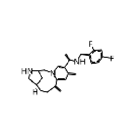 C=C1C=C2C(=C)CC[C@H]3CNC(C3)CN2C=C1C(=C)NCc1ccc(F)cc1F